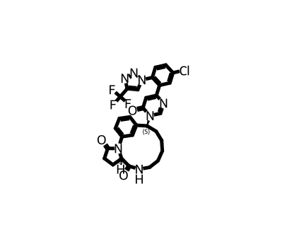 O=C1NCCCCC[C@H](n2cnc(-c3cc(Cl)ccc3-n3cc(C(F)(F)F)nn3)cc2=O)c2cccc(c2)N2C(=O)CC[C@H]12